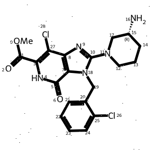 COC(=O)c1[nH]c(=O)c2c(nc(N3CCC[C@@H](N)C3)n2Cc2ccccc2Cl)c1Cl